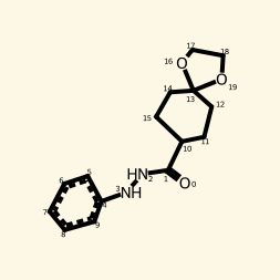 O=C(NNc1ccccc1)C1CCC2(CC1)OCCO2